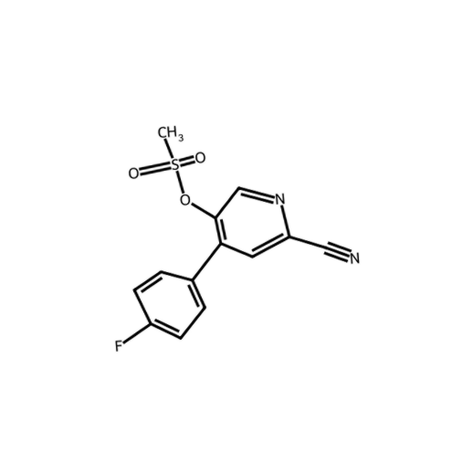 CS(=O)(=O)Oc1cnc(C#N)cc1-c1ccc(F)cc1